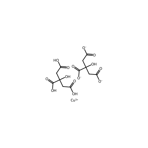 O=C(O)CC(O)(CC(=O)O)C(=O)O.O=C([O-])CC(O)(CC(=O)[O-])C(=O)[O-].[Cu+3]